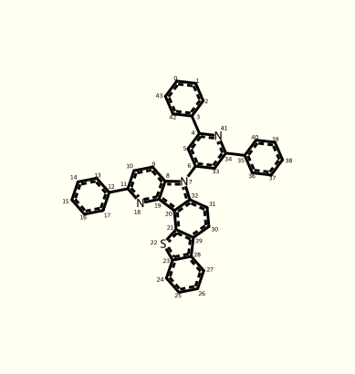 c1ccc(-c2cc(-n3c4ccc(-c5ccccc5)nc4c4c5sc6ccccc6c5ccc43)cc(-c3ccccc3)n2)cc1